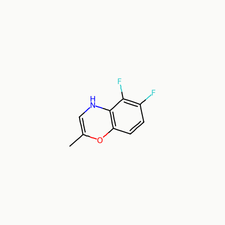 CC1=CNc2c(ccc(F)c2F)O1